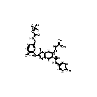 Cn1c(Nc2cc(CNC(=O)OC(C)(C)C)ccc2Cl)nc2cc(C(=O)Nc3ccc(Br)cc3)c(OCC(F)F)cc21